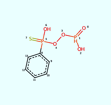 O=[PH](O)OOP(O)(=S)c1ccccc1